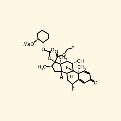 CO[C@H]1CCCC[C@@H]1OC(=O)O[C@]1(C(=O)OCF)[C@H](C)C[C@H]2[C@@H]3C[C@H](F)C4=CC(=O)C=C[C@]4(C)[C@@]3(F)[C@@H](O)C[C@@]21C